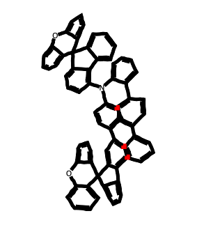 c1ccc(-c2ccc(-c3ccccc3N(c3ccc(-c4ccc5c(c4)C4(c6ccccc6Oc6ccccc64)c4ccccc4-5)cc3)c3cccc4c3-c3ccccc3C43c4ccccc4Oc4ccccc43)cc2)cc1